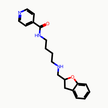 O=C(NCCCCNCC1Cc2ccccc2O1)c1ccncc1